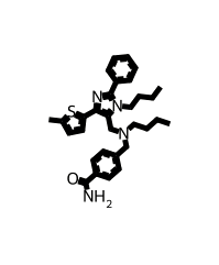 CCCCN(Cc1ccc(C(N)=O)cc1)Cc1c(-c2ccc(C)s2)nc(-c2ccccc2)n1CCCC